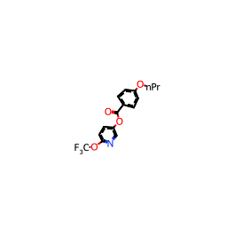 CCCOc1ccc(C(=O)Oc2ccc(OC(F)(F)F)nc2)cc1